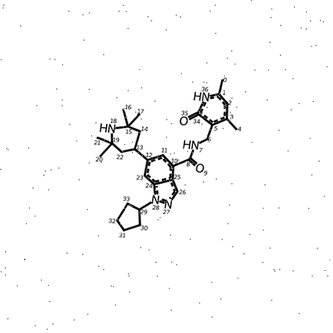 Cc1cc(C)c(CNC(=O)c2cc(C3CC(C)(C)NC(C)(C)C3)cc3c2cnn3C2CCCC2)c(=O)[nH]1